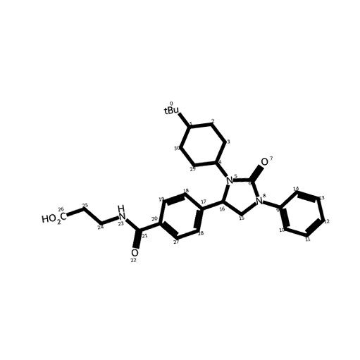 CC(C)(C)C1CCC(N2C(=O)N(c3ccccc3)CC2c2ccc(C(=O)NCCC(=O)O)cc2)CC1